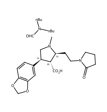 CCCCN(C=O)CCCC.CN1C[C@H](c2ccc3c(c2)OCO3)[C@@H](C(=O)O)[C@@H]1CCN1CCCC1=O